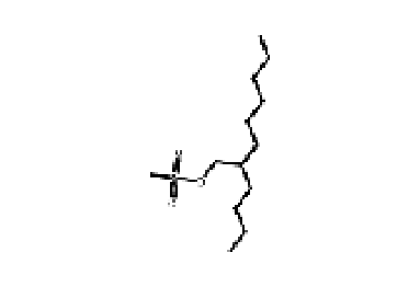 CCCCCCC(CCCC)COS(C)(=O)=O